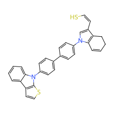 S/C=C\c1cn(-c2ccc(-c3ccc(-n4c5ccccc5c5ccsc54)cc3)cc2)c2c1CCC=C2